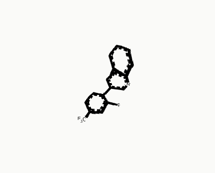 Fc1cc(C(F)(F)F)ccc1-c1cnc2ccccc2c1